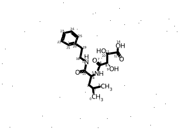 CC(C)CC(NC(=O)[C@@H](O)[C@H](O)C(=O)O)C(=O)NCCc1ccccc1